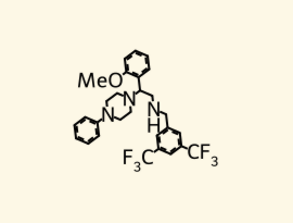 COc1ccccc1C(CNCc1cc(C(F)(F)F)cc(C(F)(F)F)c1)N1CCN(c2ccccc2)CC1